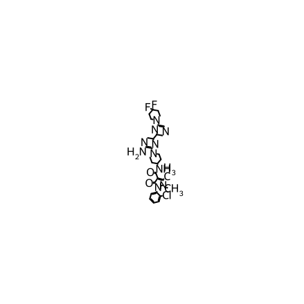 Cc1c(C(=O)NC2CCN(c3nc(-c4cncc(N5CCC(F)(F)CC5)n4)cnc3N)CC2)c(=O)n(-c2ccccc2Cl)n1C